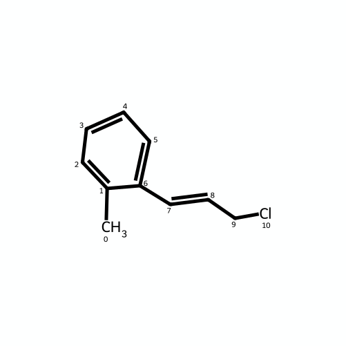 Cc1ccccc1C=CCCl